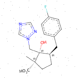 C[C@]1(C(=O)O)CC[C@H](Cc2ccc(F)cc2)[C@]1(O)Cn1cncn1